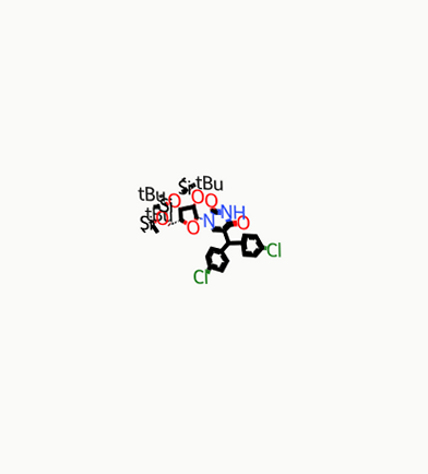 CC(C)(C)[Si](C)(C)OC[C@H]1O[C@@H](n2cc(C(c3ccc(Cl)cc3)c3ccc(Cl)cc3)c(=O)[nH]c2=O)[C@H](O[Si](C)(C)C(C)(C)C)[C@@H]1O[Si](C)(C)C(C)(C)C